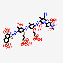 CC(=O)Nc1ccc2c(nc3c(C#N)c(C)c(N=Nc4cc(C)c(N=Nc5cc(CO)c(N=Nc6nc7c(S(=O)(=O)O)cc8ccc(S(=O)(=O)O)cc8c7s6)cc5SCCCS(=O)(=O)O)cc4OCCCS(=O)(=O)O)c(O)n32)c1S(=O)(=O)O